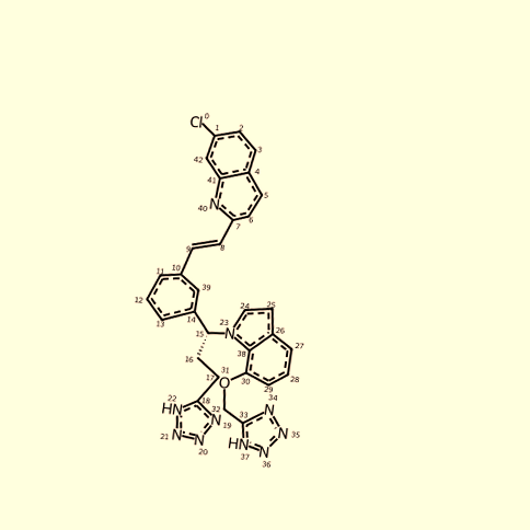 Clc1ccc2ccc(C=Cc3cccc([C@@H](CCc4nnn[nH]4)n4ccc5cccc(OCc6nnn[nH]6)c54)c3)nc2c1